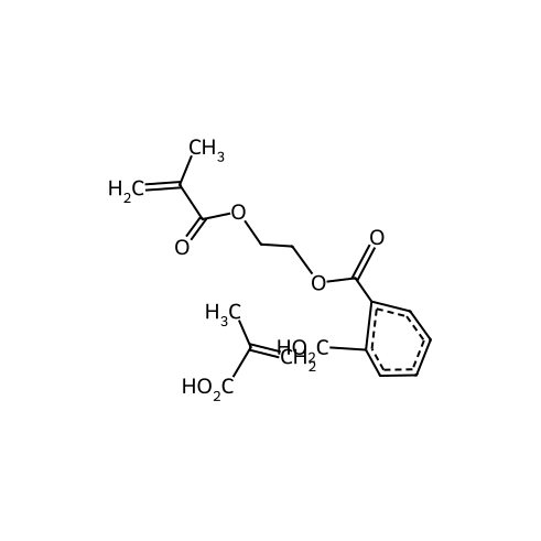 C=C(C)C(=O)O.C=C(C)C(=O)OCCOC(=O)c1ccccc1C(=O)O